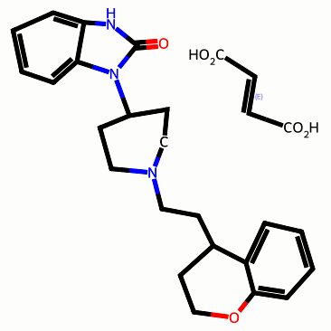 O=C(O)/C=C/C(=O)O.O=c1[nH]c2ccccc2n1C1CCN(CCC2CCOc3ccccc32)CC1